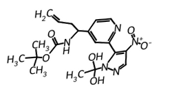 C=CCC(NC(=O)OC(C)(C)C)c1ccnc(-c2c([N+](=O)[O-])cnn2C(C)(O)O)c1